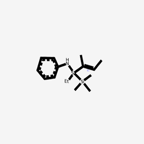 C/C=C(\C)[Si](CC)(Nc1ccccc1)[Si](C)(C)C